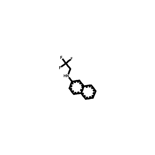 FC(F)(F)CNc1ccc2ccccc2c1